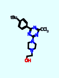 CC(C)(C)c1ccc(-c2nc(N3CCN(CCO)CC3)nc(C(Cl)(Cl)Cl)n2)cc1